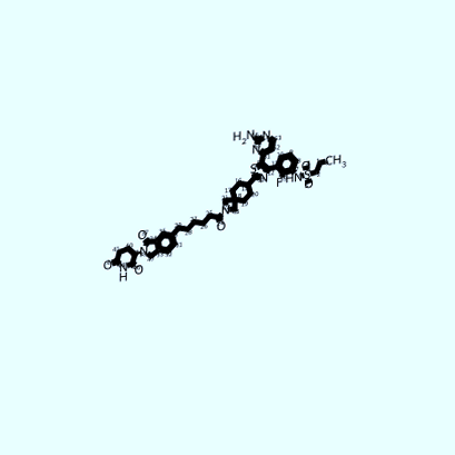 CCCS(=O)(=O)Nc1cccc(-c2nc(C3CCC4(CC3)CN(C(=O)CCCCCc3ccc5c(c3)C(=O)N([C@@H]3CCC(=O)NC3=O)C5)C4)sc2-c2ccnc(N)n2)c1F